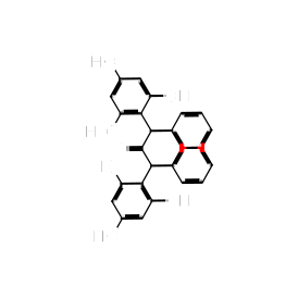 Cc1cc(O)cc(O)c1C(C(=O)C(c1ccccc1)c1c(C)cc(O)cc1O)c1ccccc1